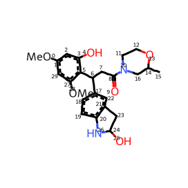 COc1cc(O)c(C(CC(=O)N2CCOC(C)C2)c2ccc3c(c2)CC(O)N3)c(OC)c1